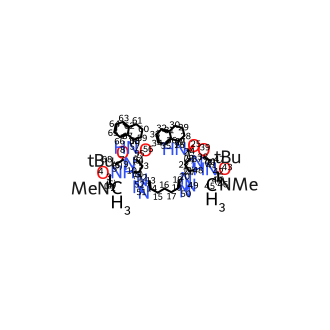 CN[C@@H](C)C(=O)N[C@H](C(=O)N1C[C@@H](n2cc(CCCc3cn([C@H]4C[C@@H](C(=O)N[C@@H]5CCCc6ccccc65)N(C(=O)[C@@H](NC(=O)[C@H](C)NC)C(C)(C)C)C4)nn3)nn2)C[C@H]1C(=O)N[C@@H]1CCCc2ccccc21)C(C)(C)C